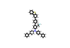 CC(C)(F)c1cc(N(c2ccc(-c3ccccc3)cc2)C2C=CC(c3ccccc3)=CC2)ccc1-c1ccc(-c2ccc3sc4ccccc4c3c2)cc1